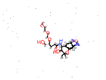 COCCOCO[C@@H](CO)CCC(=O)NC1c2cc3nonc3cc2OC(C)(C)C1O